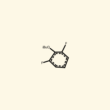 CC(C)COc1c(F)cccc1F